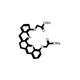 COC(=O)COc1cccc2cc3c(nc12)-c1nc2c(OCC(=O)OC)cccc2cc1CC3